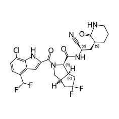 N#C[C@@H](C[C@@H]1CCCNC1=O)NC(=O)[C@H]1[C@@H]2CC(F)(F)C[C@@H]2CN1C(=O)c1cc2c(C(F)F)ccc(Cl)c2[nH]1